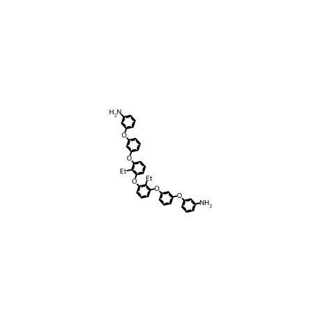 CCc1c(Oc2cccc(Oc3cccc(N)c3)c2)cccc1Oc1cccc(Oc2cccc(Oc3cccc(N)c3)c2)c1CC